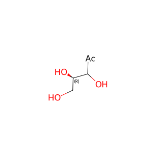 CC(=O)C(O)[C@H](O)CO